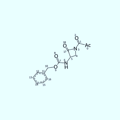 CC(=O)C(=O)N1CC(NC(=O)OCc2ccccc2)C1=O